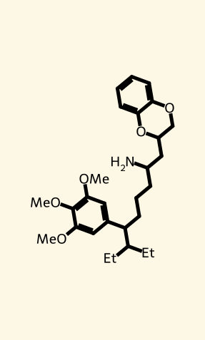 CCC(CC)C(CCCC(N)CC1COc2ccccc2O1)c1cc(OC)c(OC)c(OC)c1